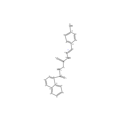 O=C(CNC(=O)c1cccc2ccccc12)N/N=C/c1ccc(O)cc1